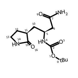 CC(C)(C)OC(=O)N[C@H](CC(N)=O)C[C@@H]1CCNC1=O